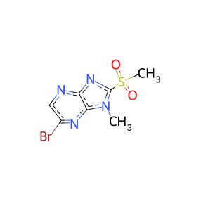 Cn1c(S(C)(=O)=O)nc2ncc(Br)nc21